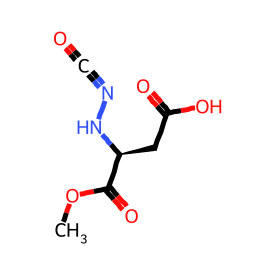 COC(=O)[C@H](CC(=O)O)NN=C=O